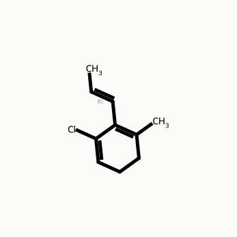 C/C=C/C1=C(C)CCC=C1Cl